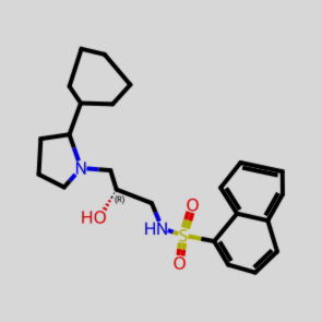 O=S(=O)(NC[C@H](O)CN1CCCC1C1CCCCC1)c1cccc2ccccc12